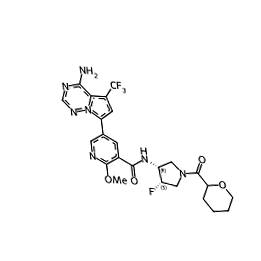 COc1ncc(-c2cc(C(F)(F)F)c3c(N)ncnn23)cc1C(=O)N[C@@H]1CN(C(=O)C2CCCCO2)C[C@@H]1F